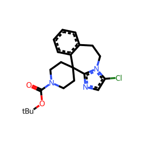 CC(C)(C)OC(=O)N1CCC2(CC1)c1ccccc1CCn1c(Cl)cnc12